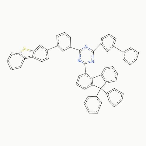 c1ccc(-c2cccc(-c3nc(-c4cccc(-c5ccc6c(c5)sc5ccccc56)c4)nc(-c4cccc5c4-c4ccccc4C5(c4ccccc4)c4ccccc4)n3)c2)cc1